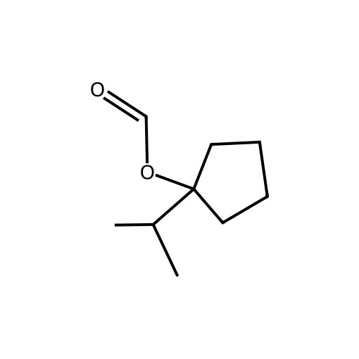 CC(C)C1(OC=O)CCCC1